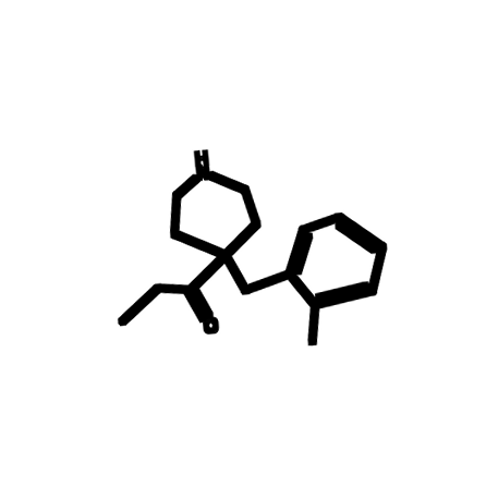 CCC(=O)C1(Cc2ccccc2C)CCNCC1